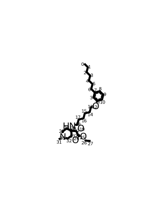 CCCCCCCc1cccc(OCCCCCC(=O)NC2(CC(=O)OCC)CCN(C)CC2)c1